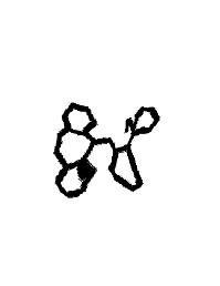 C(=C1c2ccccc2CCc2ccccc21)c1ccccc1-c1ccccn1